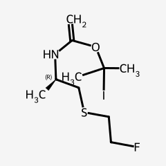 C=C(N[C@H](C)CSCCF)OC(C)(C)I